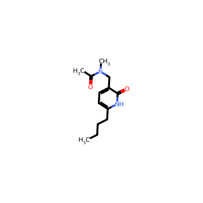 CCCCc1ccc(CN(C)C(C)=O)c(=O)[nH]1